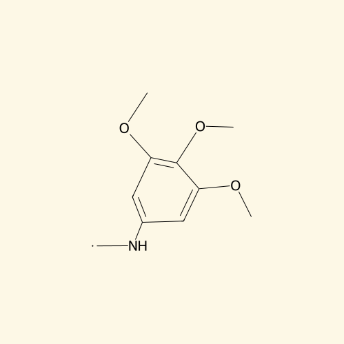 [CH2]Nc1cc(OC)c(OC)c(OC)c1